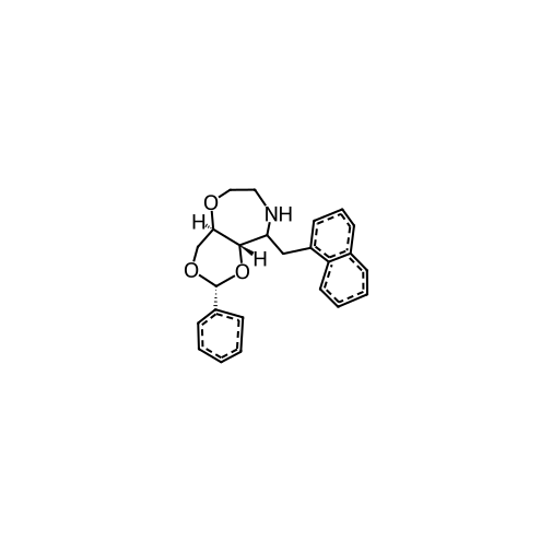 c1ccc([C@@H]2OC[C@H]3OCCNC(Cc4cccc5ccccc45)[C@@H]3O2)cc1